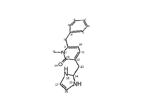 Cn1c(Cc2ccccc2)ccc(CC2NC=CN2)c1=O